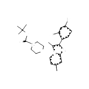 Cc1ccn2c(C[C@H]3CN(C(=O)OC(C)(C)C)CCO3)c(-c3ccc(Br)cc3Cl)nc2c1